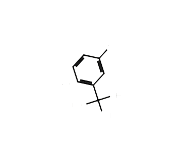 CC(C)(C)c1cccc(S)c1.[Zn]